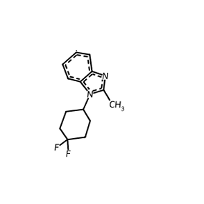 Cc1nc2c[c]ccc2n1C1CCC(F)(F)CC1